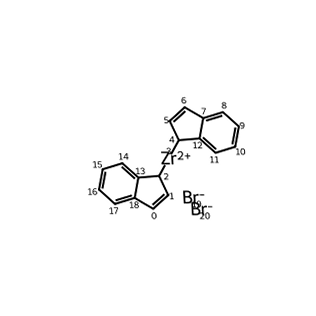 C1=C[CH]([Zr+2][CH]2C=Cc3ccccc32)c2ccccc21.[Br-].[Br-]